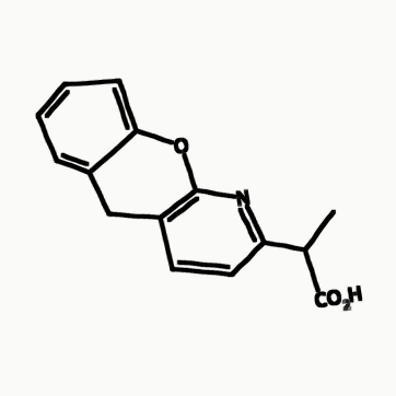 CC(C(=O)O)c1ccc2c(n1)Oc1ccccc1C2